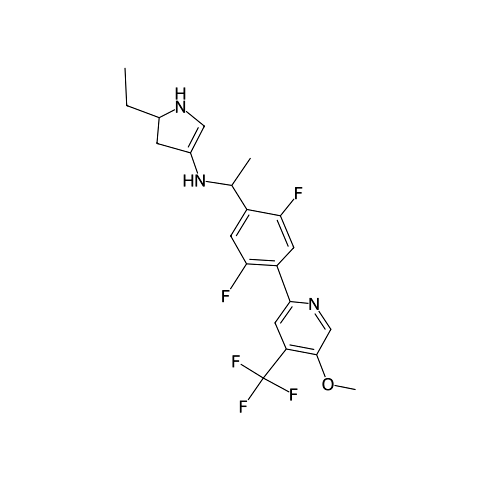 CCC1CC(NC(C)c2cc(F)c(-c3cc(C(F)(F)F)c(OC)cn3)cc2F)=CN1